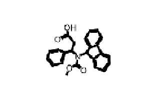 COC(=O)N(C(CC(=O)O)c1ccccc1)C1c2ccccc2-c2ccccc21